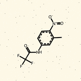 Cc1cc(NC(=O)C(F)(F)F)ccc1[N+](=O)[O-]